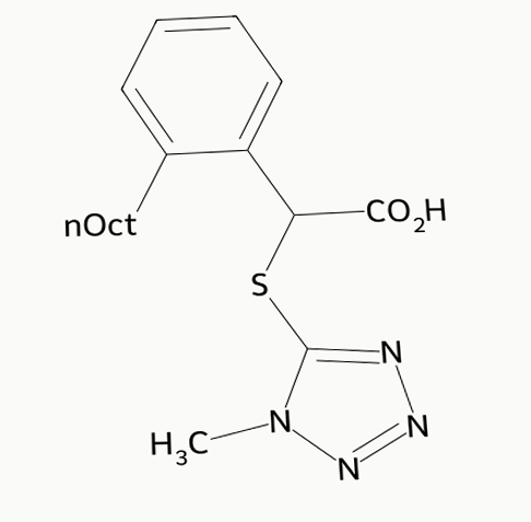 CCCCCCCCc1ccccc1C(Sc1nnnn1C)C(=O)O